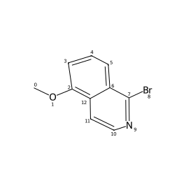 COc1cccc2c(Br)nccc12